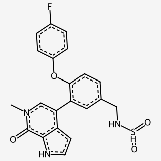 Cn1cc(-c2cc(CN[SH](=O)=O)ccc2Oc2ccc(F)cc2)c2cc[nH]c2c1=O